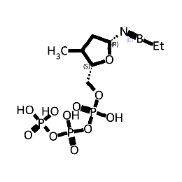 CC/B=N/[C@H]1CC(C)[C@@H](COP(=O)(O)OP(=O)(O)OP(=O)(O)O)O1